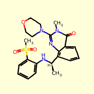 C[C@@H](Nc1ccccc1S(C)(=O)=O)c1cccc2c(=O)n(C)c(N3CCOCC3)nc12